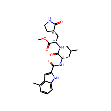 COC(=O)[C@@H](C[C@H]1CCNC1=O)NC(=O)[C@H](CC(C)C)NC(=O)c1cc2c(C)cccc2[nH]1